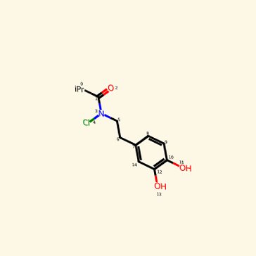 CC(C)C(=O)N(Cl)CCc1ccc(O)c(O)c1